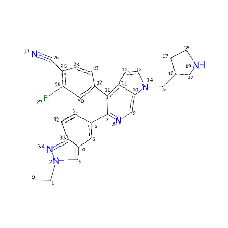 CCn1cc2cc(-c3ncc4c(ccn4CC4CCNC4)c3-c3ccc(C#N)c(F)c3)ccc2n1